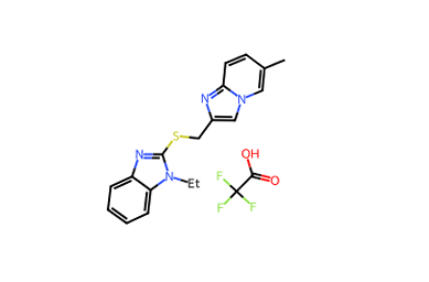 CCn1c(SCc2cn3cc(C)ccc3n2)nc2ccccc21.O=C(O)C(F)(F)F